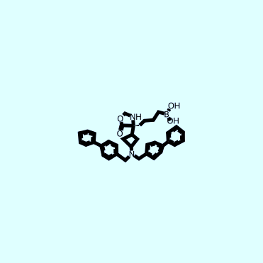 O=C1OCN[C@@]1(CCCCB(O)O)C1CC(N(Cc2ccc(-c3ccccc3)cc2)Cc2ccc(-c3ccccc3)cc2)C1